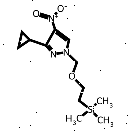 C[Si](C)(C)CCOCn1cc([N+](=O)[O-])c(C2CC2)n1